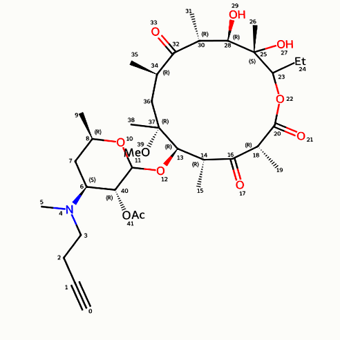 C#CCCN(C)[C@H]1C[C@@H](C)OC(O[C@@H]2[C@@H](C)C(=O)[C@@H](C)C(=O)OC(CC)[C@@](C)(O)[C@H](O)[C@@H](C)C(=O)[C@H](C)C[C@@]2(C)OC)[C@@H]1OC(C)=O